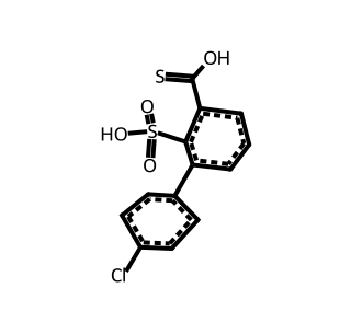 O=S(=O)(O)c1c(C(O)=S)cccc1-c1ccc(Cl)cc1